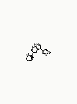 Cn1cc(-c2c[nH]c3ncc(C4=CC5CC[C@@]4(C)C5(C)C)cc23)cn1